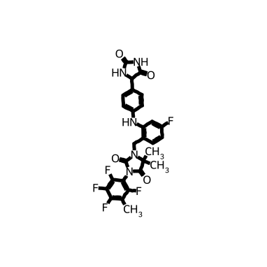 Cc1c(F)c(F)c(F)c(N2C(=O)N(Cc3ccc(F)cc3Nc3ccc(C4NC(=O)NC4=O)cc3)C(C)(C)C2=O)c1F